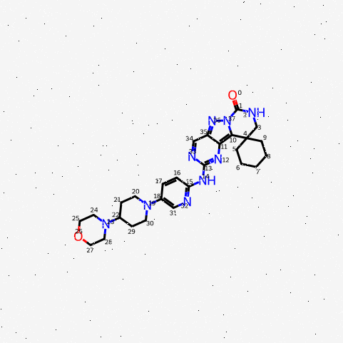 O=C1NCC2(CCCCC2)c2c3nc(Nc4ccc(N5CCC(N6CCOCC6)CC5)cn4)ncc3nn21